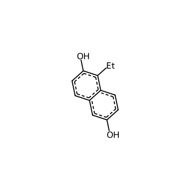 CCc1c(O)ccc2cc(O)ccc12